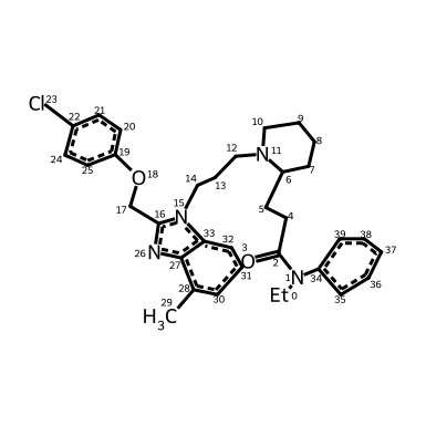 CCN(C(=O)CCC1CCCCN1CCCn1c(COc2ccc(Cl)cc2)nc2c(C)cccc21)c1ccccc1